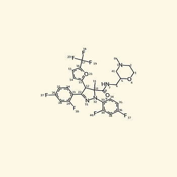 CN1CCOC(CNC(=O)C2(C)C(c3ccc(C(F)(F)F)o3)C(c3ccc(F)cc3F)=NN2c2ccc(F)cc2F)C1